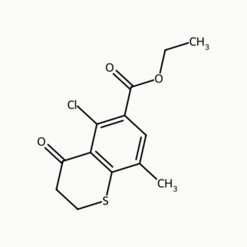 CCOC(=O)c1cc(C)c2c(c1Cl)C(=O)CCS2